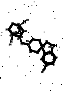 Fc1ccc2c(c1)C1(CCN(C[C@@H]3C[C@@H]4CC[C@@H]3O4)CC1)CN2